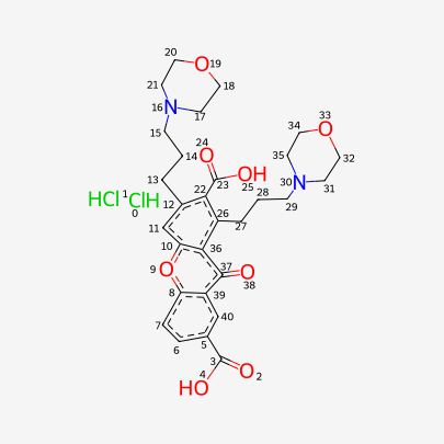 Cl.Cl.O=C(O)c1ccc2oc3cc(CCCN4CCOCC4)c(C(=O)O)c(CCCN4CCOCC4)c3c(=O)c2c1